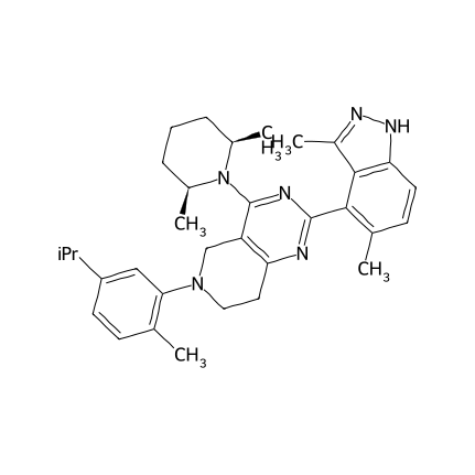 Cc1ccc(C(C)C)cc1N1CCc2nc(-c3c(C)ccc4[nH]nc(C)c34)nc(N3[C@H](C)CCC[C@@H]3C)c2C1